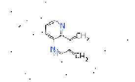 C=C/C=N\c1cccnc1C=C